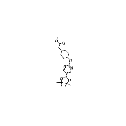 COC(=O)C[C@H]1CC[C@H](Oc2ncc(B3OC(C)(C)C(C)(C)O3)cn2)CC1